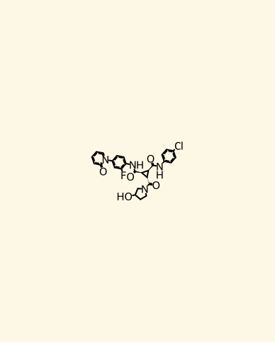 O=C(Nc1ccc(Cl)cc1)[C@@H]1[C@H](C(=O)Nc2ccc(-n3ccccc3=O)cc2F)[C@H]1C(=O)N1CCC(O)C1